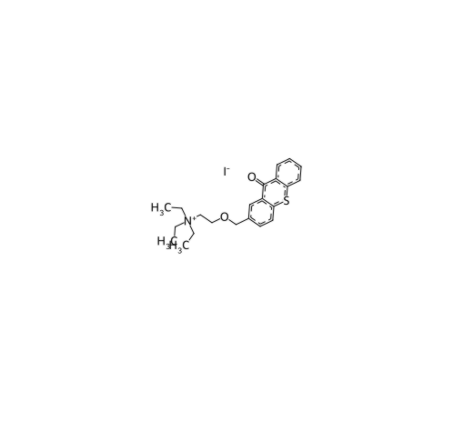 CC[N+](CC)(CC)CCOCc1ccc2sc3ccccc3c(=O)c2c1.[I-]